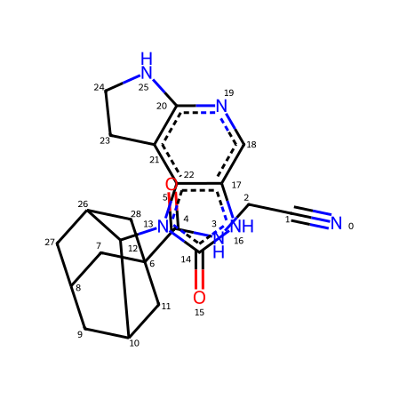 N#CCNC(=O)C12CC3CC(C1)C(n1c(=O)[nH]c4cnc5c(c41)CCN5)C(C3)C2